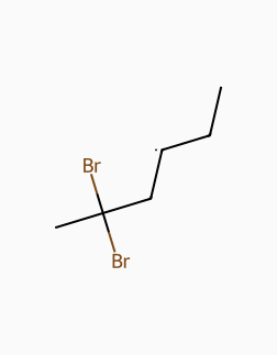 CC[CH]CC(C)(Br)Br